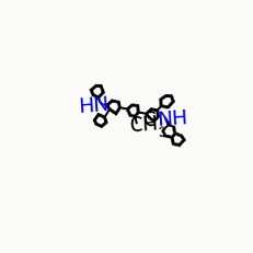 Cc1cc(-c2ccc(Nc3ccccc3)c(-c3ccccc3)c2)ccc1-c1ccc(NC2C=c3ccccc3=CC2)c(-c2ccccc2)c1